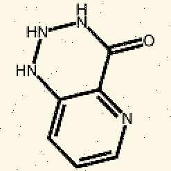 O=C1NNNc2cccnc21